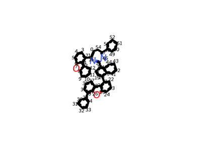 C1=C(c2cccc3oc4ccccc4c23)N=C(c2ccc(-c3cccc4oc5c(-c6ccccc6)cccc5c34)c3ccccc23)N=C(c2ccccc2)C1